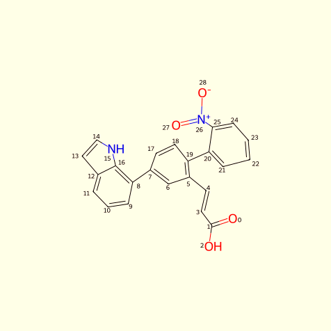 O=C(O)C=Cc1cc(-c2cccc3cc[nH]c23)ccc1-c1ccccc1[N+](=O)[O-]